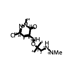 CNNCC(C)(C)ONc1cc(Cl)nn(C)c1=O